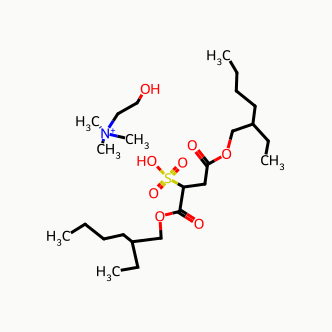 CCCCC(CC)COC(=O)CC(C(=O)OCC(CC)CCCC)S(=O)(=O)O.C[N+](C)(C)CCO